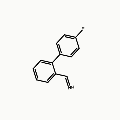 N=Cc1ccccc1-c1ccc(F)cc1